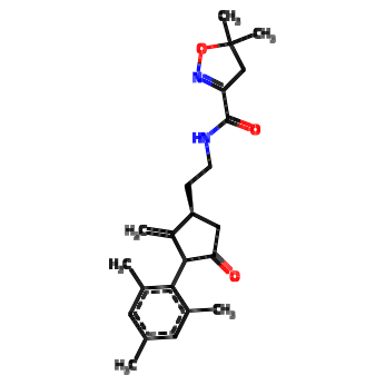 C=C1C(c2c(C)cc(C)cc2C)C(=O)C[C@@H]1CCNC(=O)C1=NOC(C)(C)C1